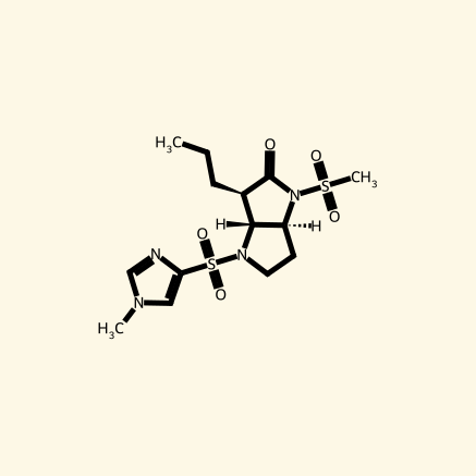 CCC[C@H]1C(=O)N(S(C)(=O)=O)[C@H]2CCN(S(=O)(=O)c3cn(C)cn3)[C@H]12